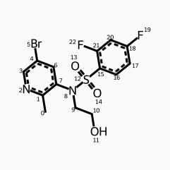 Cc1ncc(Br)cc1N(CCO)S(=O)(=O)c1ccc(F)cc1F